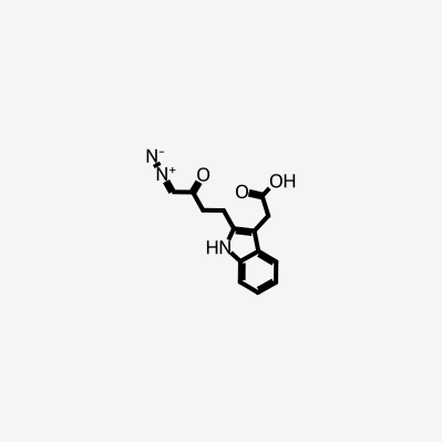 [N-]=[N+]=CC(=O)CCc1[nH]c2ccccc2c1CC(=O)O